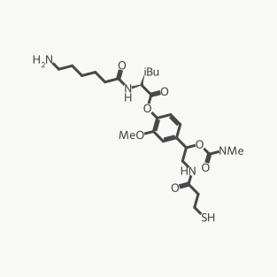 CC[C@H](C)[C@H](NC(=O)CCCCCN)C(=O)Oc1ccc(C(CNC(=O)CCS)OC(=O)NC)cc1OC